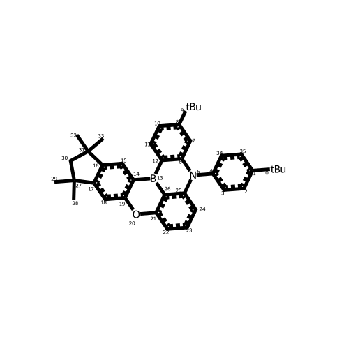 CC(C)(C)c1ccc(N2c3cc(C(C)(C)C)ccc3B3c4cc5c(cc4Oc4cccc2c43)C(C)(C)CC5(C)C)cc1